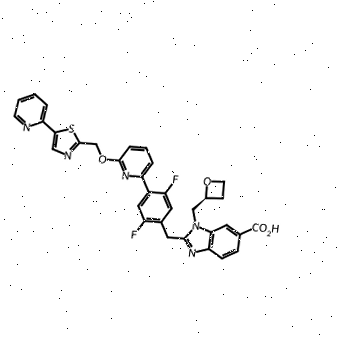 O=C(O)c1ccc2nc(Cc3cc(F)c(-c4cccc(OCc5ncc(-c6ccccn6)s5)n4)cc3F)n(C[C@@H]3CCO3)c2c1